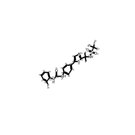 CC(C)(NS(=O)(=O)C(F)(F)F)c1ncc(-c2ccc(NC(=O)Nc3ccccc3F)cc2)s1